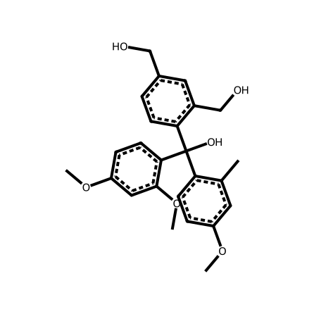 COc1ccc(C(O)(c2ccc(CO)cc2CO)c2ccc(OC)cc2OC)c(C)c1